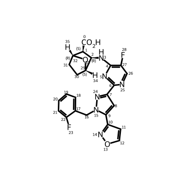 O=C(O)[C@H]1[C@@H](Nc2nc(-c3cc(-c4ccon4)n(Cc4ccccc4F)n3)ncc2F)[C@@H]2CC[C@H]1O2